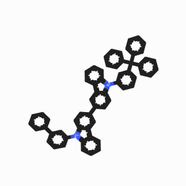 c1ccc(-c2cccc(-n3c4ccccc4c4cc(-c5ccc6c(c5)c5ccccc5n6-c5cccc(C(c6ccccc6)(c6ccccc6)c6ccccc6)c5)ccc43)c2)cc1